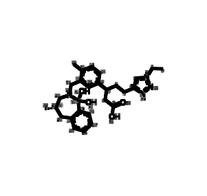 CCn1cc(CCC(CC(=O)O)c2ccc(C)c(CN3C[C@@H](C)Cc4ccccc4S3(O)O)c2)nn1